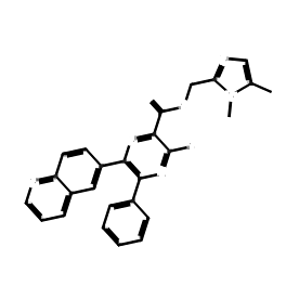 Cc1cnc(CNC(=O)c2nc(-c3ccc4ncccc4c3)c(-c3ccccc3)nc2N)n1C